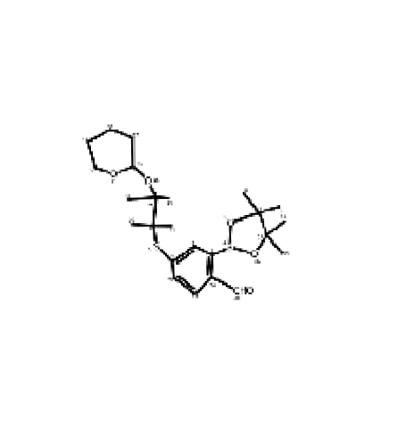 CC1(C)OB(c2cc(SC(C)(C)C(C)(C)OC3CCCCO3)ccc2C=O)OC1(C)C